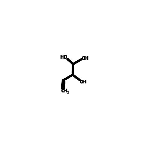 C=CC(O)C(O)O